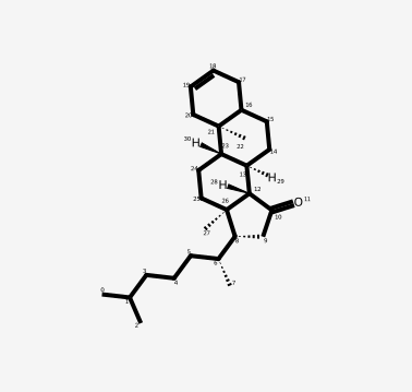 CC(C)CCC[C@@H](C)[C@H]1CC(=O)[C@H]2[C@@H]3CCC4CC=CC[C@]4(C)[C@H]3CC[C@]12C